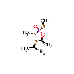 CSP(=O)(OC(C)SC(C)C)SC